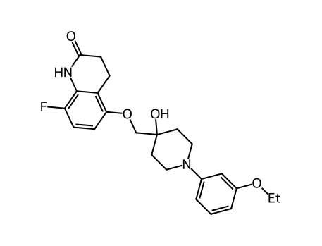 CCOc1cccc(N2CCC(O)(COc3ccc(F)c4c3CCC(=O)N4)CC2)c1